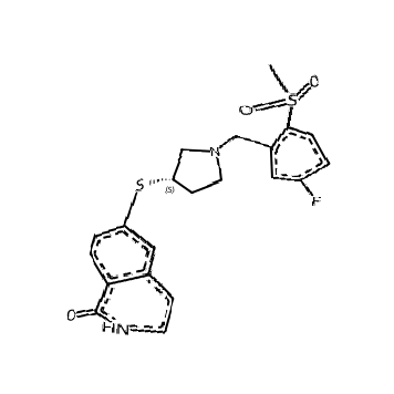 CS(=O)(=O)c1ccc(F)cc1CN1CC[C@H](Sc2ccc3c(=O)[nH]ccc3c2)C1